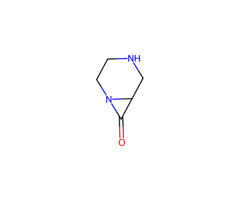 O=C1C2CNCCN12